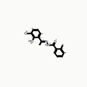 C/C(=N\NC(=O)c1ccccc1C)c1cccc(Cl)c1O